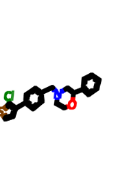 Clc1sccc1-c1ccc(CN2CCOC(c3ccccc3)C2)cc1